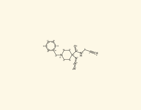 C#CCNC(=O)C1(N=[N+]=[N-])CCN(Cc2ccccc2)CC1